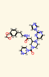 O=C(CC1CN(C(=O)N2C=CC=NC2)CCN1c1ccnc(-n2ccnc2)n1)NCCc1ccc2c(c1)OCO2